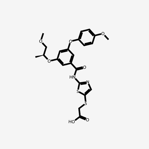 COC[C@H](C)Oc1cc(Oc2ccc(OC)cc2)cc(C(=O)Nc2ncc(SCC(=O)O)s2)c1